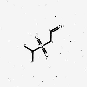 CC(C)S(=O)(=O)CC=O